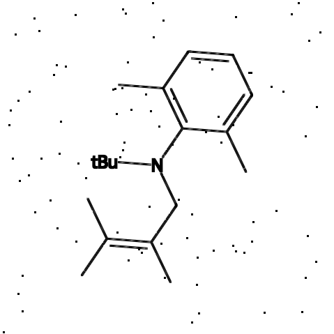 CC(C)=C(C)CN(c1c(C)cccc1C)C(C)(C)C